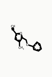 C#Cc1cc(C)c(COc2ccccc2)o1